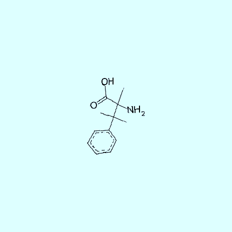 CC(N)(C(=O)O)C(C)(C)c1ccccc1